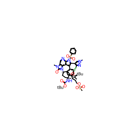 Cn1cc(-c2c(-c3ccc(CCCOS(C)(=O)=O)cc3)c3c(ncc4c3n([C@H]3CC[C@@](C)(NC(=O)OC(C)(C)C)[C@H](O[Si](C)(C)C(C)(C)C)C3)c(=O)n4C)n2S(=O)(=O)c2ccccc2)c(F)n1